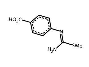 CSC(N)=Nc1ccc(C(=O)O)cc1